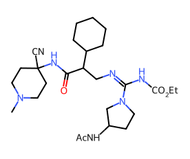 CCOC(=O)NC(=NCC(C(=O)NC1(C#N)CCN(C)CC1)C1CCCCC1)N1CCC(NC(C)=O)C1